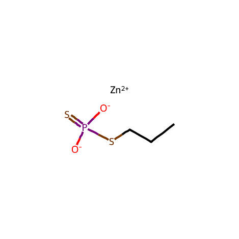 CCCSP([O-])([O-])=S.[Zn+2]